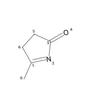 CC1=NC(=O)CC1